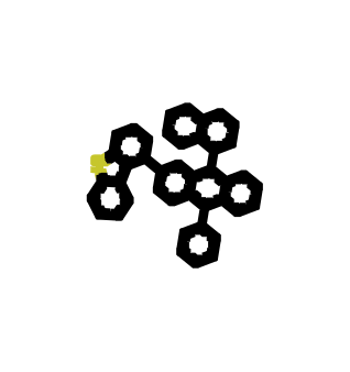 c1ccc(-c2c3ccccc3c(-c3cccc4ccccc34)c3cc(-c4cccc5sc6ccccc6c45)ccc23)cc1